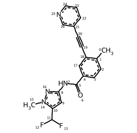 Cc1ccc(C(=O)Nc2cc(C(F)F)n(C)n2)cc1C#Cc1cccnc1